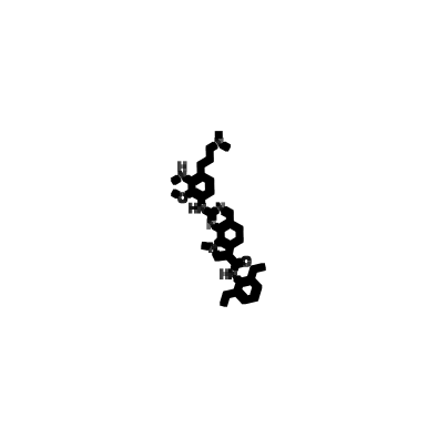 CCc1cccc(CC)c1NC(=O)c1cn(C)c2c1CCc1cnc(Nc3ccc(CCCN(C)C)c(NC)c3OC)nc1-2